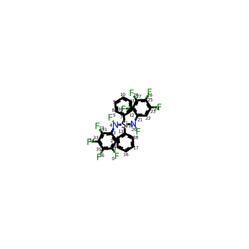 Fc1cc(N(F)[Si](c2ccccc2)(c2ccccc2)N(F)c2cc(F)c(F)c(F)c2F)c(F)c(F)c1F